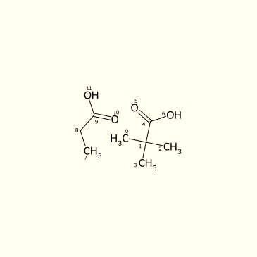 CC(C)(C)C(=O)O.CCC(=O)O